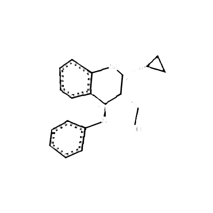 OC[C@H]1[C@@H](C2CC2)Nc2ccccc2[C@@H]1Nc1ccccc1